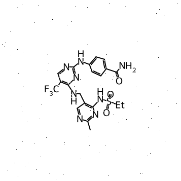 CCS(=O)(=O)Nc1nc(C)ncc1CNc1nc(Nc2ccc(C(N)=O)cc2)ncc1C(F)(F)F